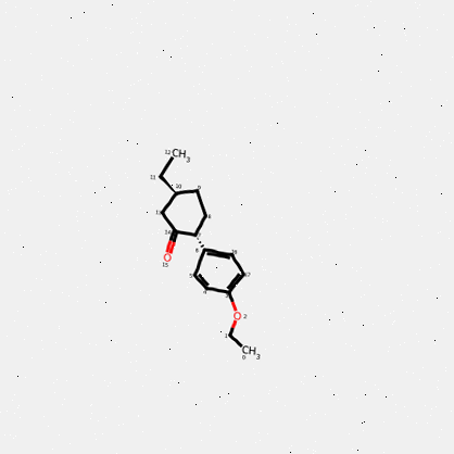 CCOc1ccc([C@H]2CC[C@H](CC)CC2=O)cc1